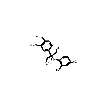 COc1ncc(C(CO)(COC(C)=O)Nc2ccc(Cl)cc2Br)nc1OC